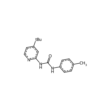 Cc1ccc(NC(=O)Nc2cc(C(C)(C)C)ccn2)cc1